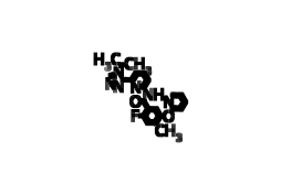 Cc1cc(F)c(C(=O)Nc2cccc(-c3nncn3C(C)C)n2)cc1Oc1ccccn1